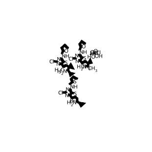 Cc1c(C2([C@@H](N)C3CC3)CC2)sc2c(NCc3ccco3)nc(Cl)nc12.Cc1c(C2([C@H](C)N)CC2)sc2c(NCc3ccco3)nc(Cl)nc12.Cl.Cl.N[C@H](Cc1sc2c(NCc3cccs3)nc(Cl)nc2c1Br)C1CC1.O=CO.O=CO